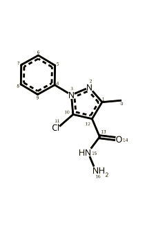 Cc1nn(-c2ccccc2)c(Cl)c1C(=O)NN